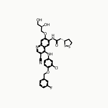 N#Cc1cnc2cc(OC[C@H](O)CO)c(NC(=O)C[C@@H]3CCSS3)cc2c1Nc1ccc(OCc2cccc(F)c2)c(Cl)c1